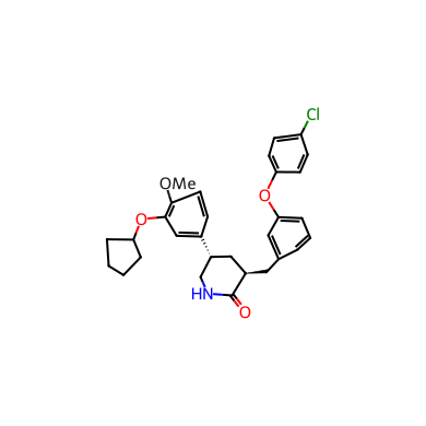 COc1ccc([C@H]2CNC(=O)[C@H](Cc3cccc(Oc4ccc(Cl)cc4)c3)C2)cc1OC1CCCC1